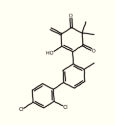 C=C1C(=O)C(C)(C)C(=O)C(c2cc(-c3ccc(Cl)cc3Cl)ccc2C)=C1O